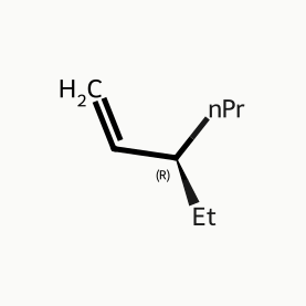 C=C[C@H](CC)CCC